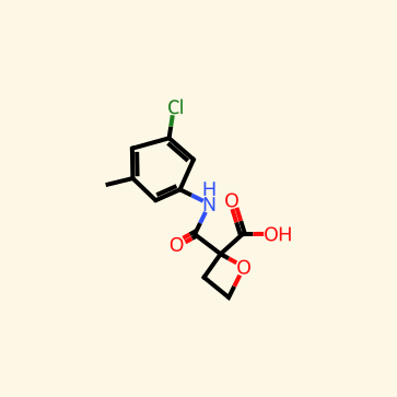 Cc1cc(Cl)cc(NC(=O)C2(C(=O)O)CCO2)c1